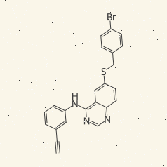 C#Cc1cccc(Nc2ncnc3ccc(SCc4ccc(Br)cc4)cc23)c1